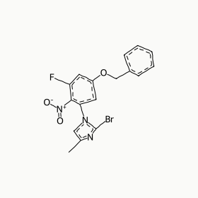 Cc1cn(-c2cc(OCc3ccccc3)cc(F)c2[N+](=O)[O-])c(Br)n1